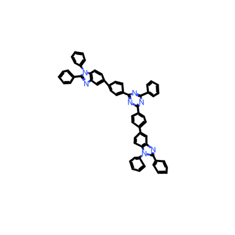 c1ccc(-c2nc(-c3ccc(-c4ccc5c(c4)nc(-c4ccccc4)n5-c4ccccc4)cc3)nc(-c3ccc(-c4ccc5c(c4)nc(-c4ccccc4)n5-c4ccccc4)cc3)n2)cc1